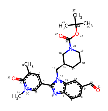 Cc1cc(-c2nc3ccc(C=O)cc3n2C[C@@H]2CCCN(C(=O)OC(C)(C)C)C2)cn(C)c1=O